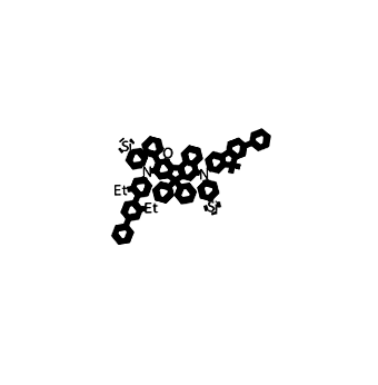 CCc1cc(-c2ccccc2)ccc1-c1ccc(N(c2ccc([Si](C)(C)C)cc2)c2cc3c(c4oc5ccccc5c24)-c2c(cc(N(c4ccc([Si](C)(C)C)cc4)c4ccc5c(c4)C(C)(C)c4cc(-c6ccccc6)ccc4-5)c4ccccc24)C3(c2ccccc2)c2ccccc2)cc1CC